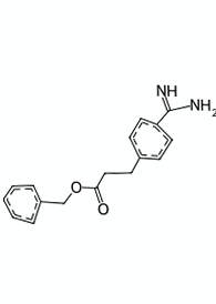 N=C(N)c1ccc(CCC(=O)OCc2ccccc2)cc1